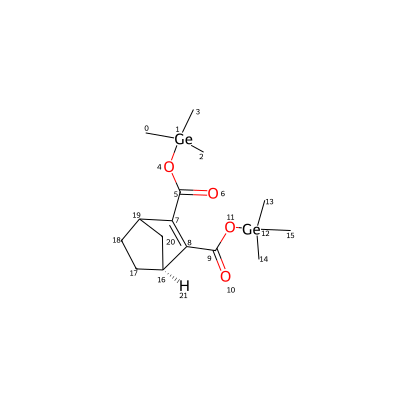 [CH3][Ge]([CH3])([CH3])[O]C(=O)C1=C(C(=O)[O][Ge]([CH3])([CH3])[CH3])[C@H]2CCC1C2